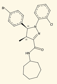 C[C@@H]1C(C(=O)NC2CCCCCC2)=NN(c2ccccc2Cl)[C@@H]1c1ccc(Br)cc1